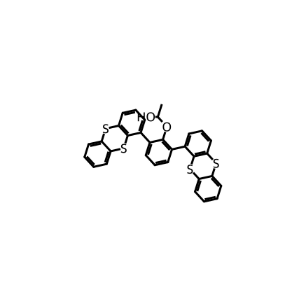 CC(O)Oc1c(-c2cccc3c2Sc2ccccc2S3)cccc1-c1cccc2c1Sc1ccccc1S2